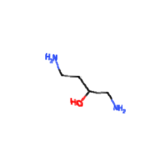 NC[CH]C(O)CN